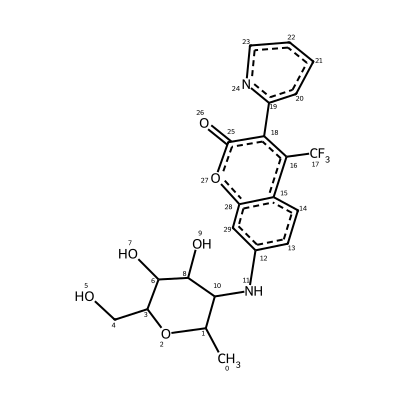 CC1OC(CO)C(O)C(O)C1Nc1ccc2c(C(F)(F)F)c(-c3ccccn3)c(=O)oc2c1